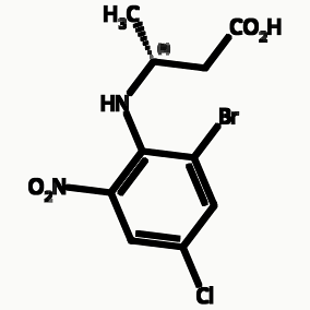 C[C@H](CC(=O)O)Nc1c(Br)cc(Cl)cc1[N+](=O)[O-]